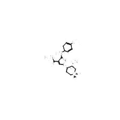 N#C[C@@H]1CS(=O)(=O)CC[C@@H]1n1cc(C(N)=O)c(NC2C=CC(C(F)(F)F)=CC2)n1